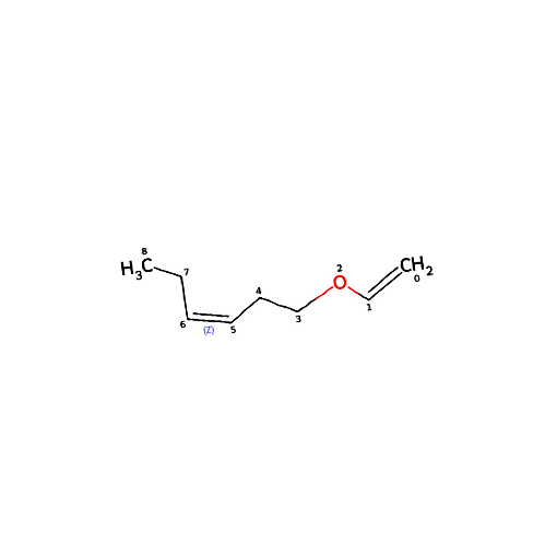 C=COCC/C=C\CC